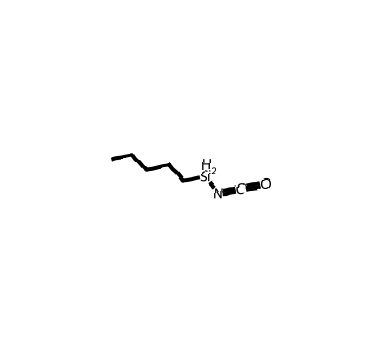 CCCCC[SiH2]N=C=O